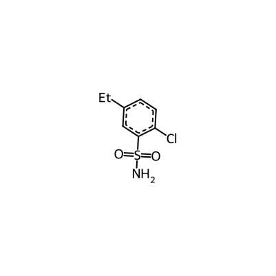 CCc1ccc(Cl)c(S(N)(=O)=O)c1